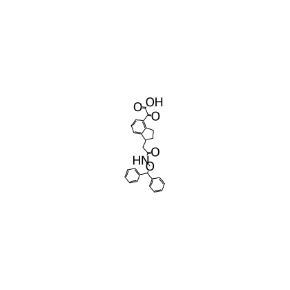 O=C(CC1CCc2c(C(=O)C(=O)O)cccc21)NOC(c1ccccc1)c1ccccc1